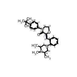 CC1CN(c2ccccc2/C=C2\OCCN(c3ccc(C(C)(C)C)cc3)C2=O)CC(C)N1C